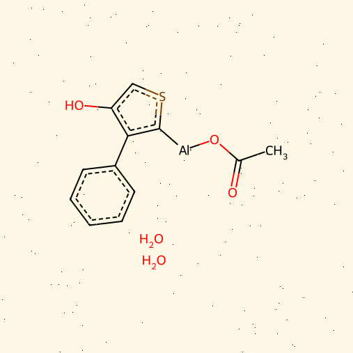 CC(=O)[O][Al][c]1scc(O)c1-c1ccccc1.O.O